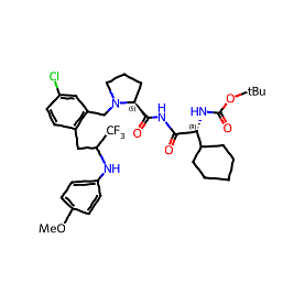 COc1ccc(NC(Cc2ccc(Cl)cc2CN2CCC[C@H]2C(=O)NC(=O)[C@H](NC(=O)OC(C)(C)C)C2CCCCC2)C(F)(F)F)cc1